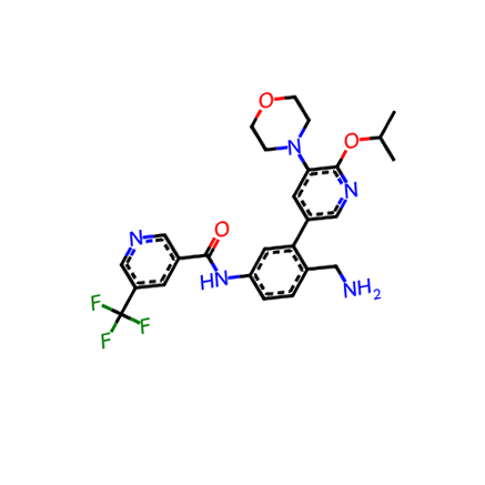 CC(C)Oc1ncc(-c2cc(NC(=O)c3cncc(C(F)(F)F)c3)ccc2CN)cc1N1CCOCC1